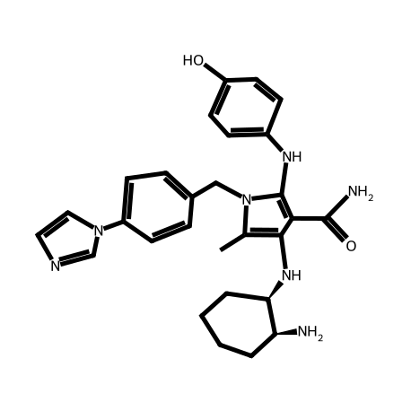 Cc1c(N[C@@H]2CCCC[C@@H]2N)c(C(N)=O)c(Nc2ccc(O)cc2)n1Cc1ccc(-n2ccnc2)cc1